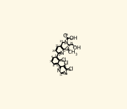 COc1nc(-c2cccc(-c3ncnc(Cl)c3Cl)c2Cl)ccc1CN(CCO)C(=O)O